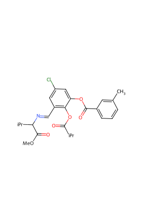 COC(=O)C(N=Cc1cc(Cl)cc(OC(=O)c2cccc(C)c2)c1OC(=O)C(C)C)C(C)C